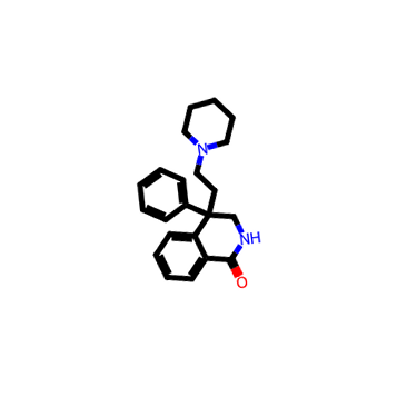 O=C1NCC(CCN2CCCCC2)(c2ccccc2)c2ccccc21